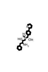 Cl.NC(Cc1ccccc1)C(O)CN(N)Cc1ccc(-c2ccccn2)cc1